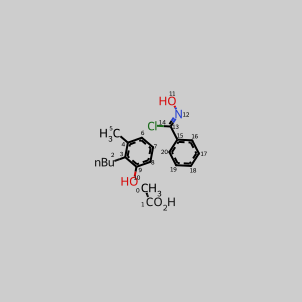 CC(=O)O.CCCCc1c(C)cccc1O.ON=C(Cl)c1ccccc1